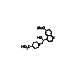 COc1ccc2nccc([C@H](O)CN3CCC(C(=O)O)CC3)c2c1